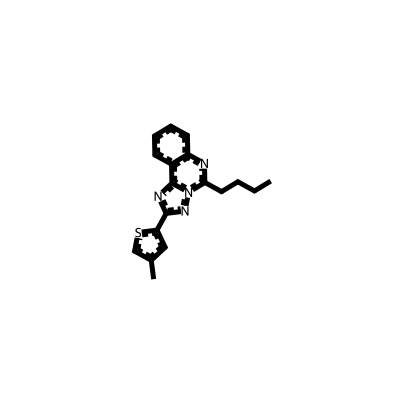 CCCCc1nc2ccccc2c2nc(-c3cc(C)cs3)nn12